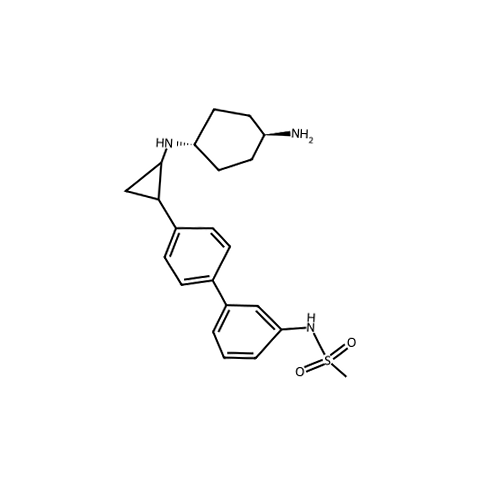 CS(=O)(=O)Nc1cccc(-c2ccc(C3CC3N[C@H]3CC[C@H](N)CC3)cc2)c1